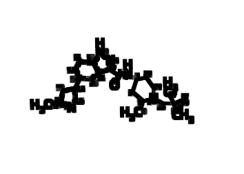 C[C@H]1C[C@H](NC(=O)c2n[nH]c3ccc(-c4cnn(C)c4)cc23)CCN1CC(C)(C)F